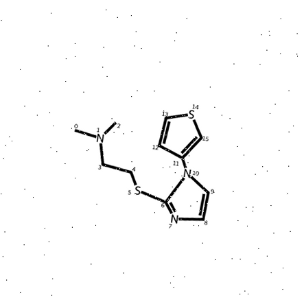 CN(C)CCSc1nccn1-c1ccsc1